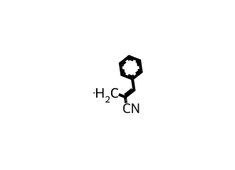 [CH2]C(C#N)=Cc1ccccc1